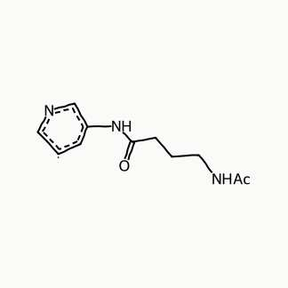 CC(=O)NCCCC(=O)Nc1c[c]cnc1